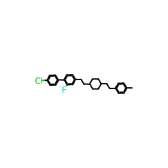 Cc1ccc(CCC2CCC(CCc3ccc(-c4ccc(Cl)cc4)c(F)c3)CC2)cc1